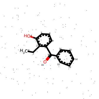 CCc1c(O)cccc1C(=O)c1ccccc1